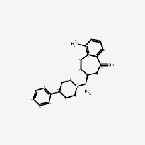 Cc1cccc2c1CCC(CN1CCC(c3ccccc3)CC1)CC2=O.Cl